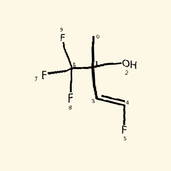 CC(O)(C=CF)C(F)(F)F